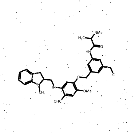 CNC(C)C(=O)Nc1cc(CCl)cc(COc2cc(NCC3Cc4ccccc4N3C)c(C=O)cc2OC)c1